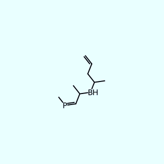 C=CCC(C)BC(C)/C=P\C